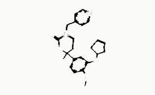 COc1ccc(C2(C)CCN(Cc3ccncc3)C(=O)O2)cc1OC1CCCC1